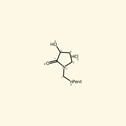 CCCCCCN1CCC(O)C1=O.Cl